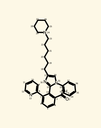 NC(=O)c1cccc(-c2ccccn2)c1-c1nc(CCCCCCN2CCCCC2)cn1-c1ccccc1